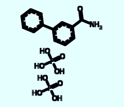 NC(=O)c1cccc(-c2ccccc2)c1.O=P(O)(O)O.O=P(O)(O)O